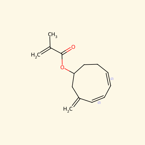 C=C1/C=C\C=C/CCC(OC(=O)C(=C)C)C1